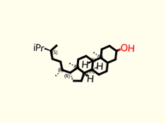 CC(C)[C@@H](C)CC[C@@H](C)[C@H]1CC[C@H]2[C@@H]3CCC4CC(O)CC[C@]4(C)[C@H]3CC[C@]12C